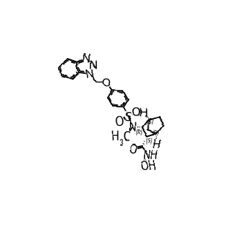 CN([C@@H]1[C@H]2CC[C@H](C2)[C@@H]1C(=O)NO)S(=O)(=O)c1ccc(OCn2nnc3ccccc32)cc1